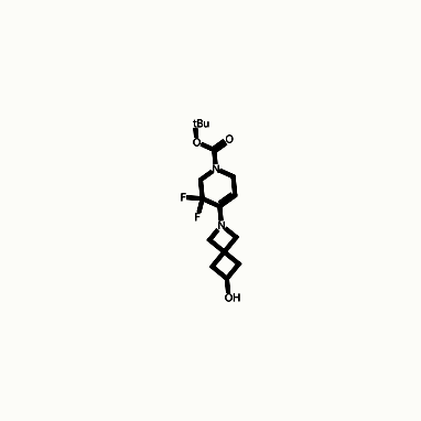 CC(C)(C)OC(=O)N1CC=C(N2CC3(CC(O)C3)C2)C(F)(F)C1